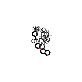 Cc1ccc2ccccc2c1CN1C(=O)[C@@H](NC(=O)[C@H](C)N(C)C(=O)OC(C)(C)C)CN(C(=O)c2ccc([N+](=O)[O-])cc2)c2ccccc21